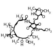 C=CCNC1=C2C[C@@H](C)C[C@H](OC)[C@H](O)[C@@H](C)C=C(C)[C@H](OC(N)=O)[C@@H](OC)C=CC=C(C)C(=O)NC(=C(SCC(NC(C)=O)C(=O)OC)C1=O)C2=O